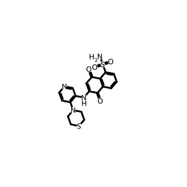 NS(=O)(=O)c1cccc2c1C(=O)C=C(Nc1cnccc1N1CCSCC1)C2=O